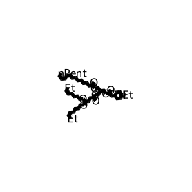 CC/C=C\CCCCOC(CCC(=O)OCC(COC(=O)CCCCCCC/C=C\C/C=C\CCCCC)COC(=O)CC1CCN(CC)CC1)OCCCC/C=C\CC